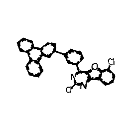 Clc1nc(-c2cccc(-c3ccc4c5ccccc5c5ccccc5c4c3)c2)c2oc3c(Cl)cccc3c2n1